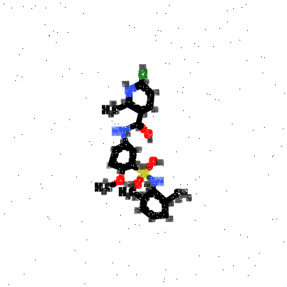 COc1ccc(NC(=O)c2ccc(Cl)nc2C)cc1S(=O)(=O)Nc1c(C)cccc1C